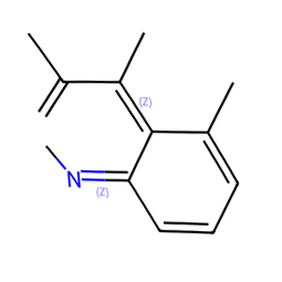 C=C(C)/C(C)=C1/C(C)=CC=C/C1=N/C